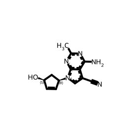 Cc1nc(N)c2c(C#N)cn([C@H]3C=C[C@@H](O)C3)c2n1